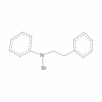 BrN(CCc1ccccc1)c1ccccc1